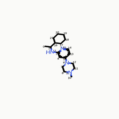 CC(Nc1cc(N2CCN(C)CC2)ccn1)C1CCCCC1